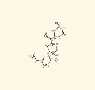 NCc1ccc2c(c1)C1(CCN(C(=O)c3cccc(Cl)c3)CC1)CO2